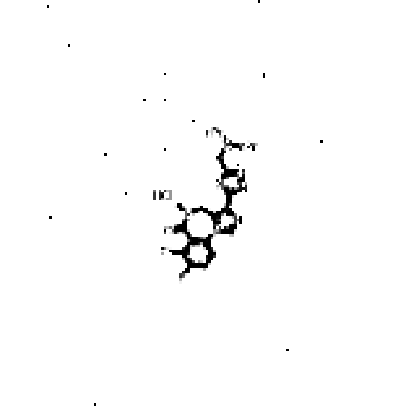 CCCN(CCC)Cc1nc(-c2ncn3c2CN(C)C(=O)c2c-3ccc(F)c2Cl)no1.Cl